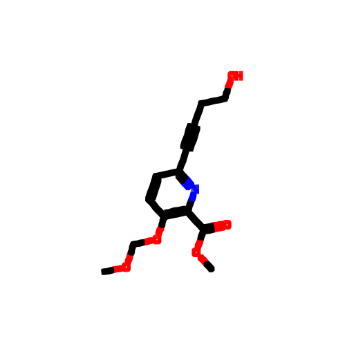 COCOc1ccc(C#CCCO)nc1C(=O)OC